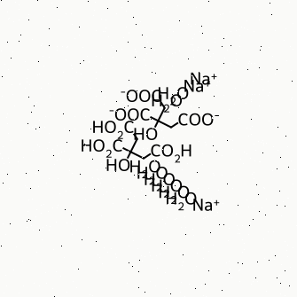 O.O.O.O.O.O.O.O.O=C(O)CC(O)(CC(=O)O)C(=O)O.O=C([O-])CC(O)(CC(=O)[O-])C(=O)[O-].[Na+].[Na+].[Na+]